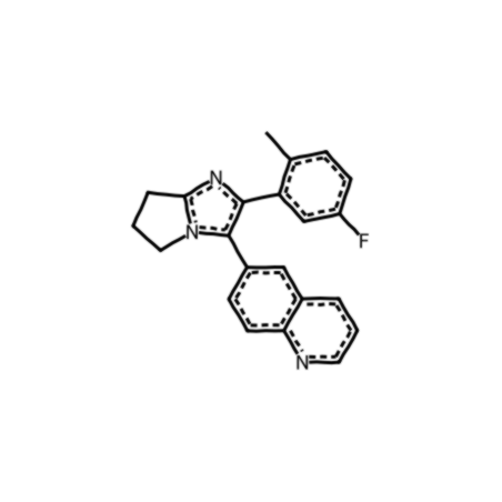 Cc1ccc(F)cc1-c1nc2n(c1-c1ccc3ncccc3c1)CCC2